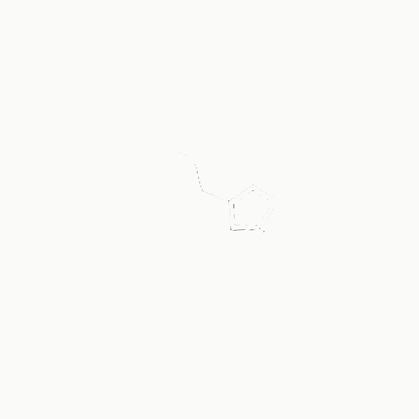 O=COCc1cnoc1